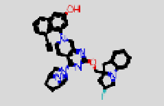 C#Cc1cccc2cc(O)cc(N3CCc4c(nc(OCC56CC(F)CN5C5CCCCC5C6)nc4N4CC5CCC(C4)N5)C3)c12